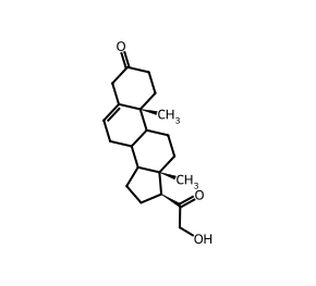 C[C@]12CCC(=O)CC1=CCC1C2CC[C@@]2(C)C1CC[C@@H]2C(=O)CO